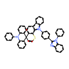 c1ccc(N2c3ccccc3C3(c4ccccc4Sc4c3ccc3c5ccccc5n(-c5ccc(-c6nc7ccccc7n6-c6ccccc6)cc5)c43)c3ccccc32)cc1